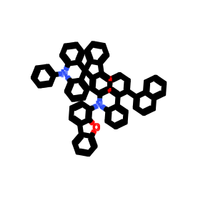 c1ccc(N2c3ccccc3C3(c4ccccc4-c4ccc(N(c5ccccc5-c5ccccc5-c5cccc6ccccc56)c5cccc6c5oc5ccccc56)cc43)c3ccccc32)cc1